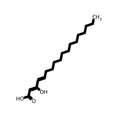 CCCCCCCCCCCCC/C=C/C(O)=C/C(=O)O